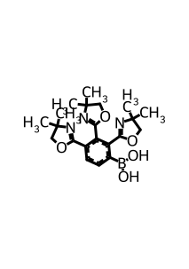 CC1(C)COC(c2ccc(B(O)O)c(C3=NC(C)(C)CO3)c2C2=NC(C)(C)CO2)=N1